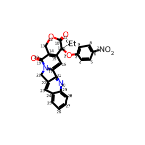 CC[C@@]1(Oc2ccc([N+](=O)[O-])cc2)C(=O)OCc2c1cc1n(c2=O)Cc2cc3ccccc3nc2-1